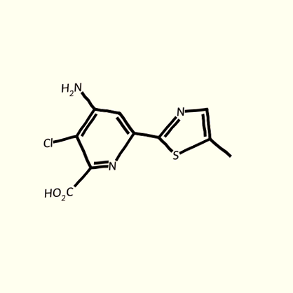 Cc1cnc(-c2cc(N)c(Cl)c(C(=O)O)n2)s1